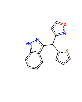 c1csc(C(c2ccon2)c2n[nH]c3ccccc23)c1